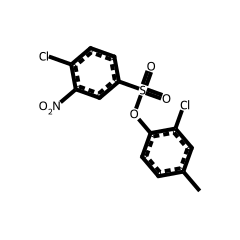 Cc1ccc(OS(=O)(=O)c2ccc(Cl)c([N+](=O)[O-])c2)c(Cl)c1